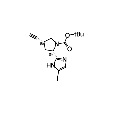 C#C[C@H]1C[C@@H](c2ncc(I)[nH]2)N(C(=O)OC(C)(C)C)C1